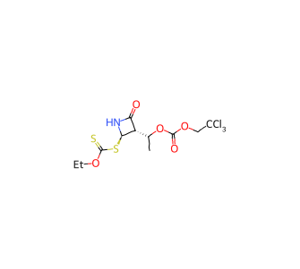 CCOC(=S)S[C@H]1NC(=O)[C@@H]1C(C)OC(=O)OCC(Cl)(Cl)Cl